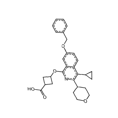 O=C(O)C1CC(Oc2nc(C3CCOCC3)c(C3CC3)c3ccc(OCc4ccccc4)cc23)C1